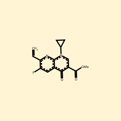 C=Cc1nc2c(cc1F)c(=O)c(C(=O)OC)cn2C1CC1